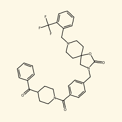 O=C(c1ccccc1)C1CCN(C(=O)c2ccc(CN3CC4(CCN(Cc5ccccc5C(F)(F)F)CC4)OC3=O)cc2)CC1